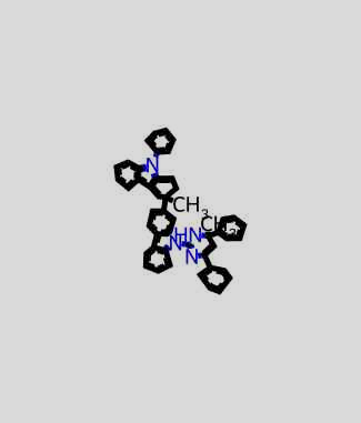 CC1(c2ccc3c4ccccc4n(C4=NC(c5ccccc5)=CC(C)(c5ccccc5)N4)c3c2)C=c2c(n(-c3ccccc3)c3ccccc23)=CC1